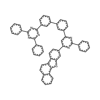 c1ccc(-c2nc(-c3cccc(-c4cccc(-c5nc(-c6ccccc6)nc(-c6ccccc6)n5)c4)c3)cc(-c3ccc4c(c3)sc3c5ccccc5ccc43)n2)cc1